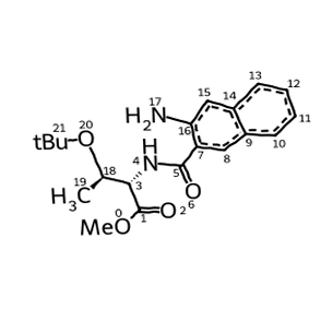 COC(=O)[C@@H](NC(=O)c1cc2ccccc2cc1N)[C@@H](C)OC(C)(C)C